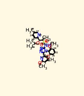 COc1cccc(-c2nnc(NS(=O)(=O)[C@H](C)[C@H](OC(C)C)c3ccc(C)cn3)n2-c2c(OC)cccc2OC)n1